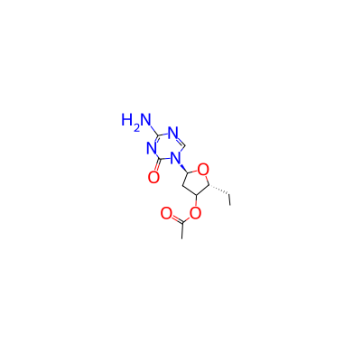 CC[C@H]1O[C@H](n2cnc(N)nc2=O)CC1OC(C)=O